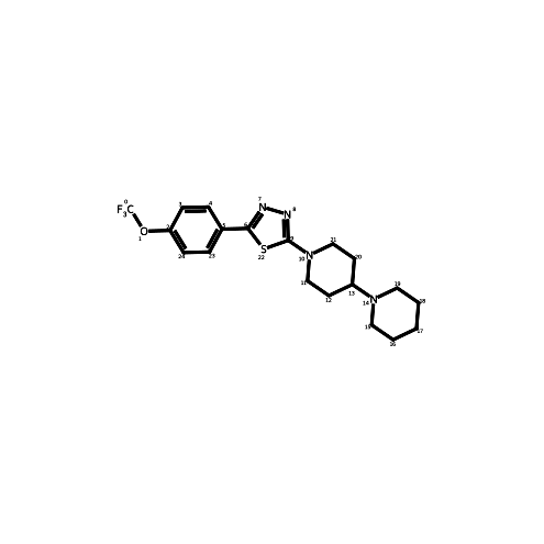 FC(F)(F)Oc1ccc(-c2nnc(N3CCC(N4CCCCC4)CC3)s2)cc1